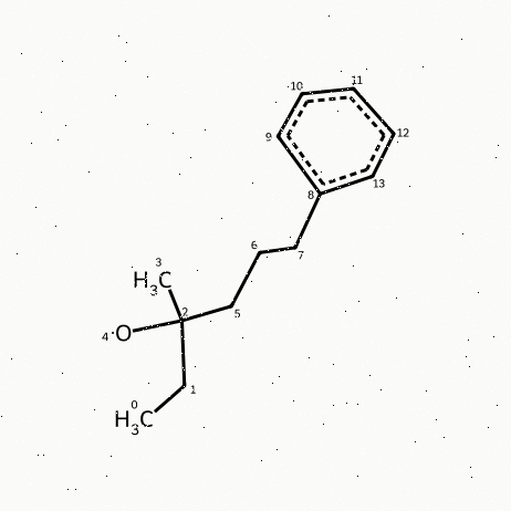 CCC(C)([O])CCCc1ccccc1